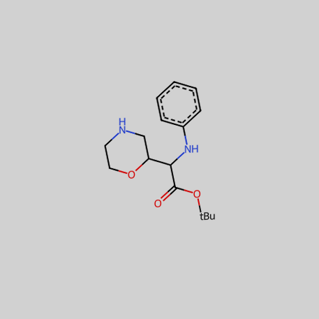 CC(C)(C)OC(=O)C(Nc1ccccc1)C1CNCCO1